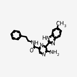 Cc1ccc2nc(-c3nc(C(=O)NCCc4ccccc4)cnc3N)[nH]c2c1